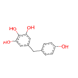 Oc1ccc(Cc2cc(O)c(O)c(O)c2)cc1